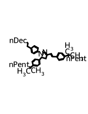 CCCCCCCCCCCCc1ccc(N2N=C(C=Cc3ccc(C(C)(C)CCCCC)cc3)CC2c2ccc(C(C)(C)CCCCC)cc2)cc1